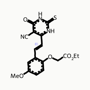 CCOC(=O)COc1ccc(OC)cc1/C=C/c1[nH]c(=S)[nH]c(=O)c1C#N